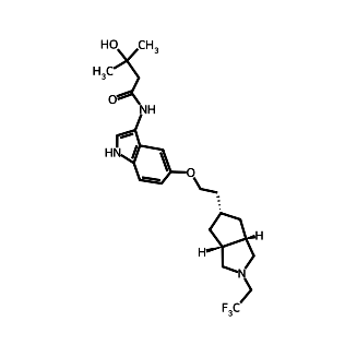 CC(C)(O)CC(=O)Nc1c[nH]c2ccc(OCC[C@@H]3C[C@@H]4CN(CC(F)(F)F)C[C@@H]4C3)cc12